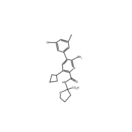 Bc1nc(C(=O)NC2(C(=O)O)CCCO2)c(C2CCC2)cc1-c1cc(C)cc(Cl)c1